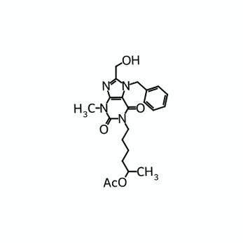 CC(=O)OC(C)CCCCn1c(=O)c2c(nc(CO)n2Cc2ccccc2)n(C)c1=O